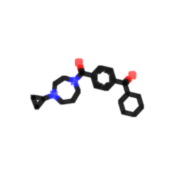 O=C(c1ccc(C(=O)N2CCCN(C3CC3)CC2)cc1)C1CCCCC1